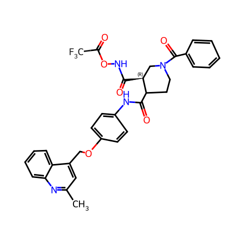 Cc1cc(COc2ccc(NC(=O)C3CCN(C(=O)c4ccccc4)C[C@@H]3C(=O)NOC(=O)C(F)(F)F)cc2)c2ccccc2n1